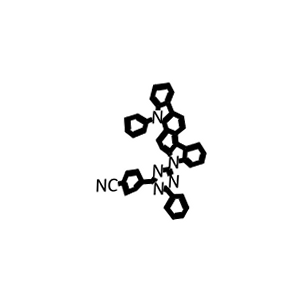 N#Cc1ccc(-c2nc(-c3ccccc3)nc(-n3c4ccccc4c4c5ccc6c7ccccc7n(-c7ccccc7)c6c5ccc43)n2)cc1